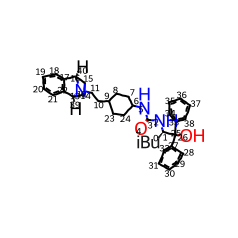 CCC(C)[C@@H](NC(=O)NC1CCC(CCN2[C@@H]3CC[C@H]2c2ccccc23)CC1)C(O)(c1ccccc1)c1ccccc1